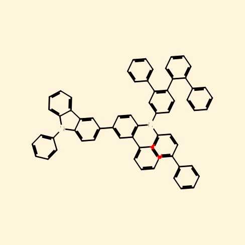 c1ccc(-c2ccc(N(c3ccc(-c4ccccc4-c4ccccc4)c(-c4ccccc4)c3)c3ccc(-c4ccc5c(c4)c4ccccc4n5-c4ccccc4)cc3-c3ccccc3)cc2)cc1